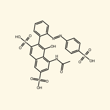 CC(=O)Nc1cc(S(=O)(=O)O)cc2cc(S(=O)(=O)O)c(-c3ccccc3N=Nc3ccc(S(=O)(=O)O)cc3)c(O)c12